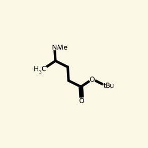 CNC(C)CCC(=O)OC(C)(C)C